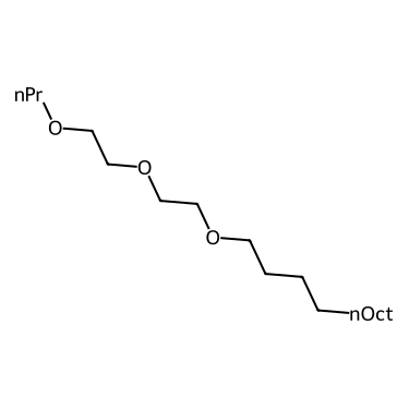 CCCCCCCCCCCCOCCOCCOCCC